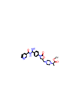 CC(C)OC(=O)C(C)N1CCN(CC2CN(c3ccc(C(=N)NC(=O)c4cccnc4)cc3)C(=O)O2)CC1